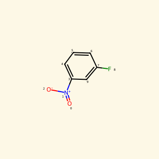 O=[N+]([O-])c1c[c]cc(F)c1